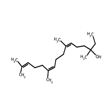 CCC(C)(O)CCC=C(C)CCC=C(C)CCC=C(C)C